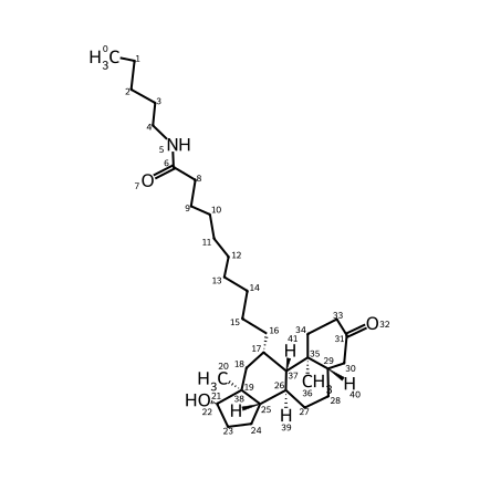 CCCCCNC(=O)CCCCCCCCC[C@H]1C[C@]2(C)[C@@H](O)CC[C@H]2[C@@H]2CC[C@H]3CC(=O)CC[C@]3(C)[C@@H]12